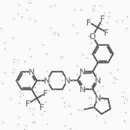 CC1CCCN1c1nc(-c2cccc(OC(F)(F)F)c2)nc(N2CCN(c3ncccc3C(F)(F)F)CC2)n1